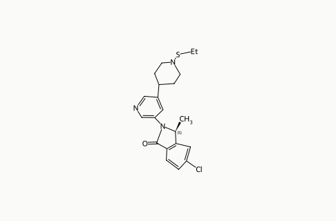 CCSN1CCC(c2cncc(N3C(=O)c4ccc(Cl)cc4[C@@H]3C)c2)CC1